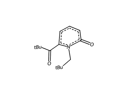 CC(C)(C)Cn1c(C(=O)C(C)(C)C)cccc1=O